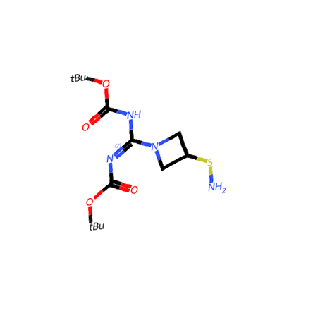 CC(C)(C)OC(=O)/N=C(/NC(=O)OC(C)(C)C)N1CC(SN)C1